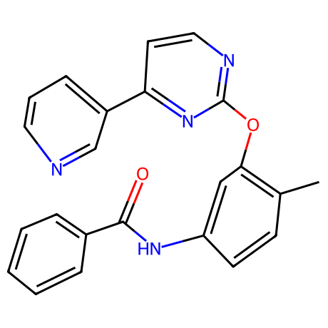 Cc1ccc(NC(=O)c2ccccc2)cc1Oc1nccc(-c2cccnc2)n1